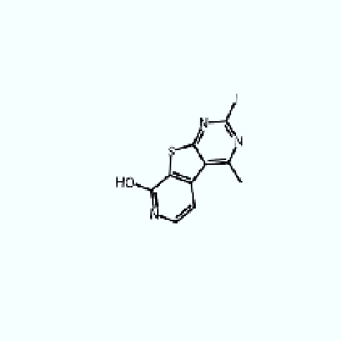 Cc1nc(I)nc2sc3c(O)nccc3c12